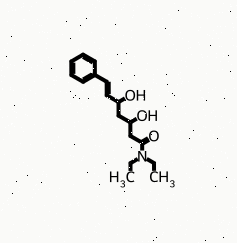 CCN(CC)C(=O)CC(O)CC(O)C=Cc1ccccc1